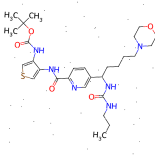 CCCNC(=O)NC(CCCCN1CCOCC1)c1ccc(C(=O)Nc2cscc2NC(=O)OC(C)(C)C)nc1